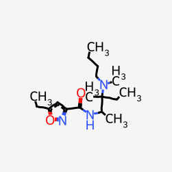 CCCCN(C)C(C)(CC)C(C)NC(=O)c1cc(CC)on1